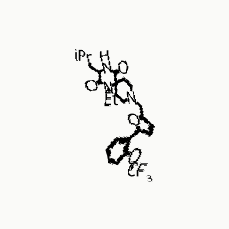 CCN1C(=O)C(CC(C)C)NC(=O)C12CCN(Cc1ccc(-c3ccccc3OC(F)(F)F)o1)CC2